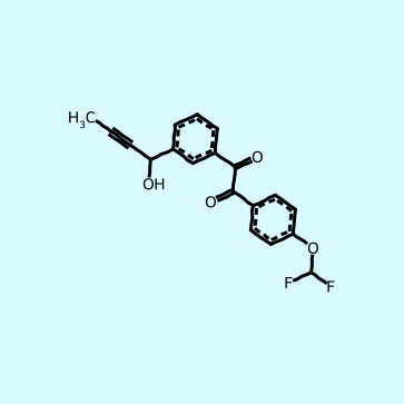 CC#CC(O)c1cccc(C(=O)C(=O)c2ccc(OC(F)F)cc2)c1